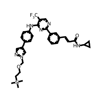 C[Si](C)(C)CCOCn1cc(-c2ccc(Nc3nc(-c4cccc(/C=C/C(=O)NC5CC5)c4)ncc3C(F)(F)F)cc2)cn1